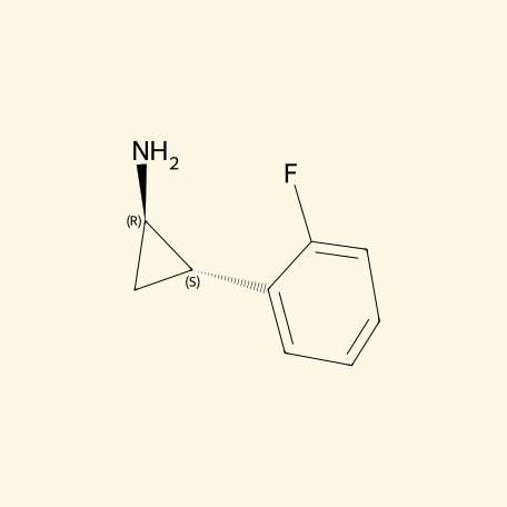 N[C@@H]1C[C@H]1c1ccccc1F